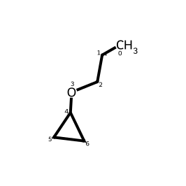 C[CH]COC1CC1